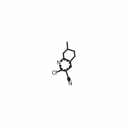 CC1CCc2cc(C#N)c(Cl)nc2C1